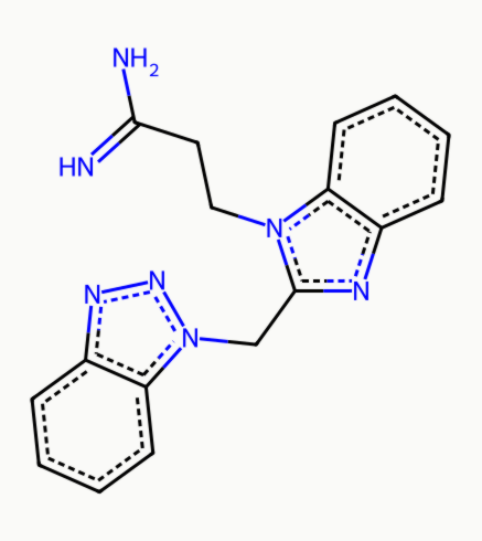 N=C(N)CCn1c(Cn2nnc3ccccc32)nc2ccccc21